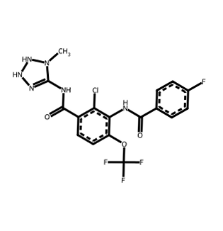 CN1NNN=C1NC(=O)c1ccc(OC(F)(F)F)c(NC(=O)c2ccc(F)cc2)c1Cl